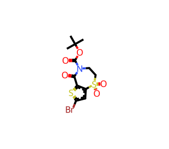 CC(C)(C)OC(=O)N1CCS(=O)(=O)c2cc(Br)sc2C1=O